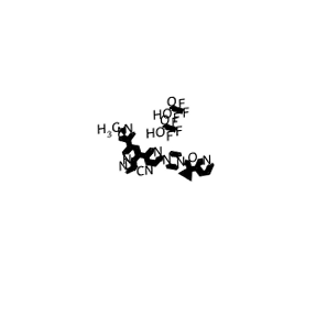 Cn1cc(-c2cc(-c3ccc(N4CCN(C(=O)C5(c6cccnc6)CC5)CC4)nc3)c3c(C#N)cnn3c2)cn1.O=C(O)C(F)(F)F.O=C(O)C(F)(F)F